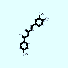 COc1ccc(C(=O)CC(=O)/C=C/c2ccc(O)c(OC)c2)cc1